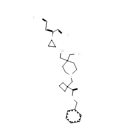 C=C/C=C(\C=C)[C@@H]1C[C@H]1NCC1(CO)CCN(CC2(C(=O)OCc3ccccc3)CCC2)CC1